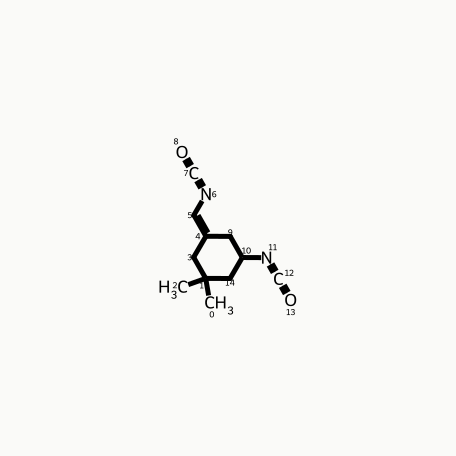 CC1(C)CC(=CN=C=O)CC(N=C=O)C1